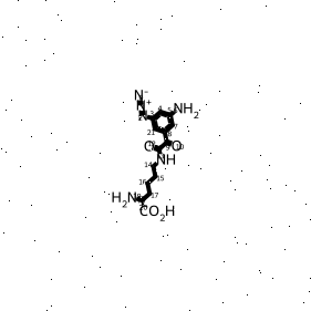 [N-]=[N+]=Nc1cc(N)cc(C(=O)C(=O)NCCCC[C@H](N)C(=O)O)c1